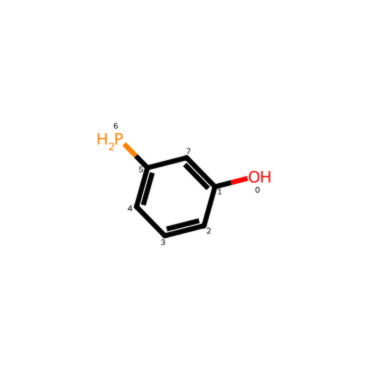 Oc1cccc(P)c1